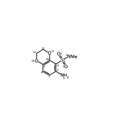 CNS(=O)(=O)c1c(N)ccc2c1OCCO2